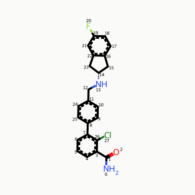 NC(=O)c1cccc(-c2ccc(CN[C@H]3Cc4ccc(F)cc4C3)cc2)c1Cl